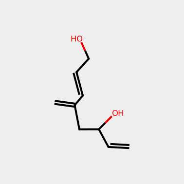 C=CC(O)CC(=C)C=CCO